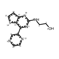 OCCNc1nc(-c2cnccn2)c2sccc2n1